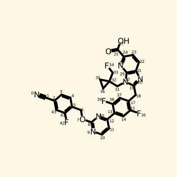 N#Cc1ccc(COc2nccc(-c3cc(F)c(Cc4nc5ccc(C(=O)O)nc5n4CC4(CF)CC4)cc3F)n2)c(F)c1